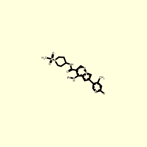 Cc1cc(F)ncc1-c1cc2c(NC(C)C)c(C(=O)NC3CCN(S(C)(=O)=O)CC3)cnn2c1